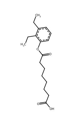 CCc1cccc(OC(=O)CCCCCCC(=O)O)c1CC